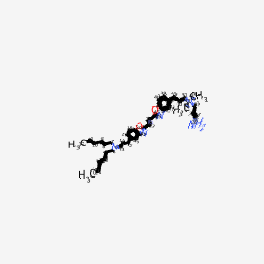 CCCCCCN(CCCCCC)CCCc1ccc2oc(/C=C/c3nc4cc(CCC[N+](C)(C)CCCN)ccc4o3)nc2c1